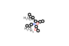 CC1(C)c2ccccc2-c2ccc(-c3cc(N(c4ccc5c(c4)C(C)(C)c4ccccc4-5)c4ccc5c(c4)oc4ccccc45)c4oc5cc6ccccc6cc5c4c3)cc21